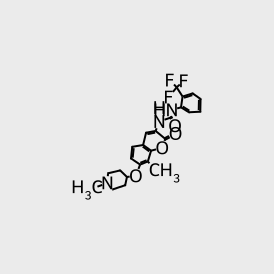 Cc1c(OC2CCN(C)CC2)ccc2cc(NC(=O)Nc3ccccc3C(F)(F)F)c(=O)oc12